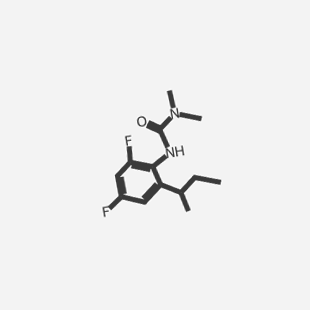 CCC(C)c1cc(F)cc(F)c1NC(=O)N(C)C